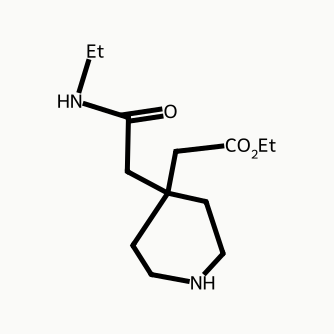 CCNC(=O)CC1(CC(=O)OCC)CCNCC1